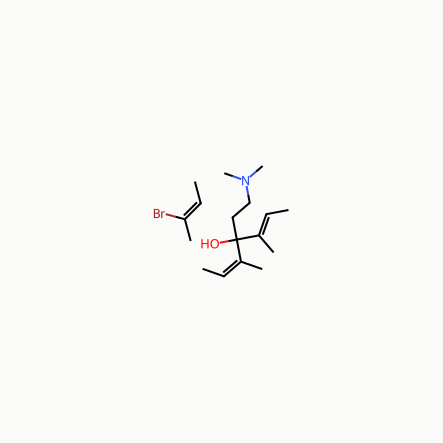 CC=C(C)Br.CC=C(C)C(O)(CCN(C)C)C(C)=CC